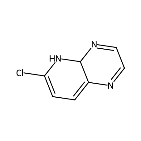 ClC1=CC=C2N=CC=NC2N1